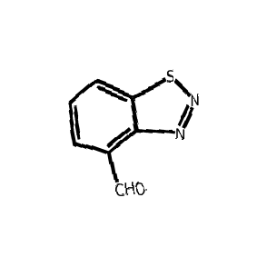 O=[C]c1cccc2snnc12